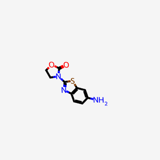 Nc1ccc2nc(N3CCOC3=O)sc2c1